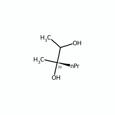 CCC[C@](C)(O)C(C)O